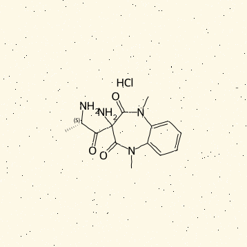 C[C@H](N)C(=O)C1(N)C(=O)N(C)c2ccccc2N(C)C1=O.Cl